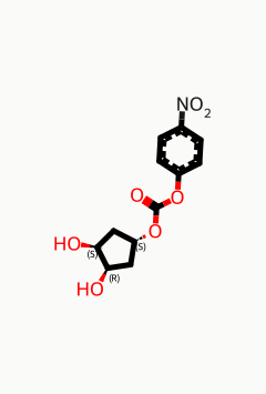 O=C(Oc1ccc([N+](=O)[O-])cc1)O[C@@H]1C[C@@H](O)[C@@H](O)C1